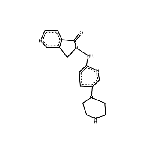 O=C1c2ccncc2CN1Nc1ccc(N2CCNCC2)cn1